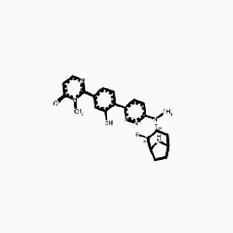 CN(c1ccc(-c2ccc(-c3nccc(=O)n3C)cc2O)nn1)[C@@H]1CC2CCC(N2)[C@H]1F